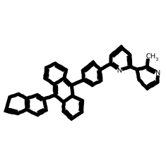 CC1=NC=CCC1c1cccc(-c2ccc(C3=c4ccccc4=C(c4ccc5c(c4)CCC=C5)C4C=CC=CC34)cc2)n1